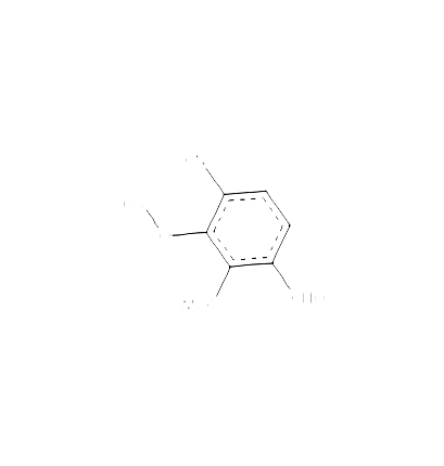 CCCCOc1c([N+](=O)[O-])ccc(C=O)c1OC